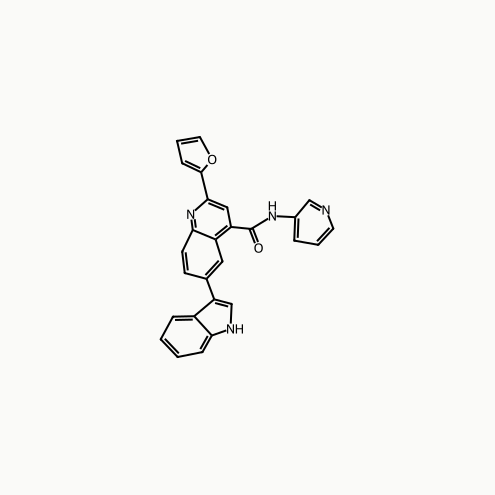 O=C(Nc1cccnc1)c1cc(-c2ccco2)nc2ccc(-c3c[nH]c4ccccc34)cc12